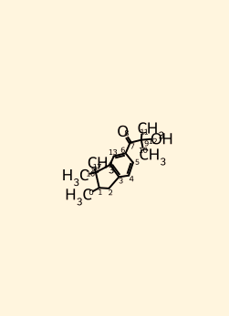 CC1Cc2ccc(C(=O)C(C)(C)O)cc2C1(C)C